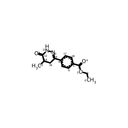 CCOC(=O)c1ccc(C2=NNC(=O)C(C)C2)cc1